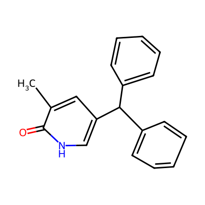 Cc1cc(C(c2ccccc2)c2ccccc2)c[nH]c1=O